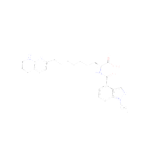 Cn1ncc2c(C(=O)N[C@@H](CCCCCCCc3ccc4c(n3)NCCC4)C(=O)O)cccc21